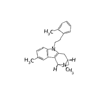 Cc1ccc2c(c1)c1c(n2CCc2ccccc2C)C[C@@H]2CC[C@H]1N2C